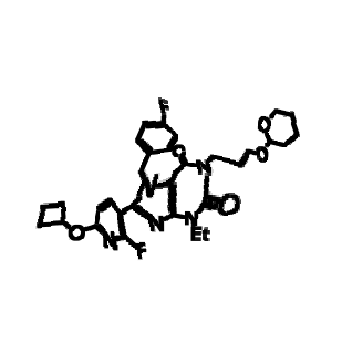 CCn1c(=O)n(CCCOC2CCCCO2)c(=O)c2c1nc(-c1ccc(OC3CCC3)nc1F)n2Cc1ccc(F)cc1